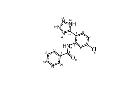 O=C(Nc1cc(Cl)ccc1-c1nnn[nH]1)c1ccccc1